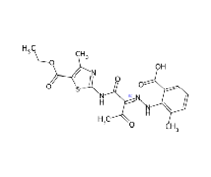 CCOC(=O)c1sc(NC(=O)/C(=N/Nc2c(C)cccc2C(=O)O)C(C)=O)nc1C